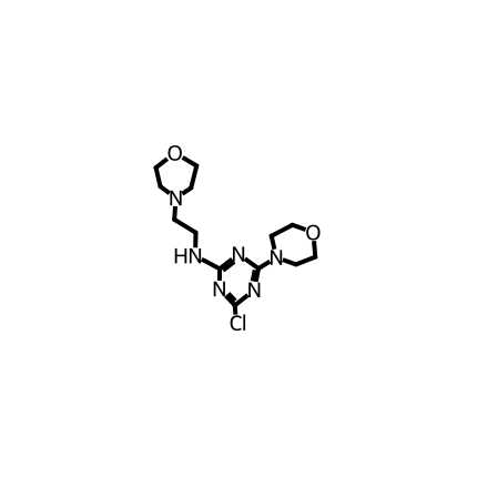 Clc1nc(NCCN2CCOCC2)nc(N2CCOCC2)n1